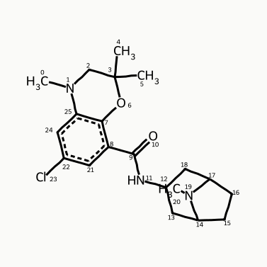 CN1CC(C)(C)Oc2c(C(=O)NC3CC4CCC(C3)N4C)cc(Cl)cc21